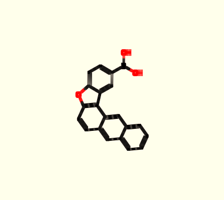 OB(O)c1ccc2oc3ccc4cc5ccccc5cc4c3c2c1